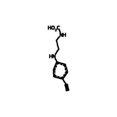 C#Cc1ccc(NCCNC(=O)O)cc1